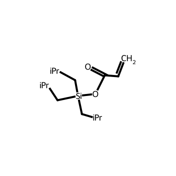 C=CC(=O)O[Si](CC(C)C)(CC(C)C)CC(C)C